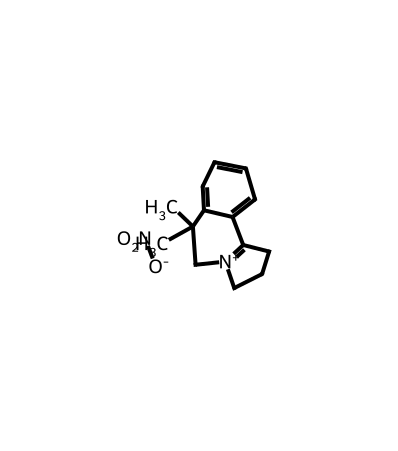 CC1(C)C[N+]2=C(CCC2)c2ccccc21.O=[N+]([O-])[O-]